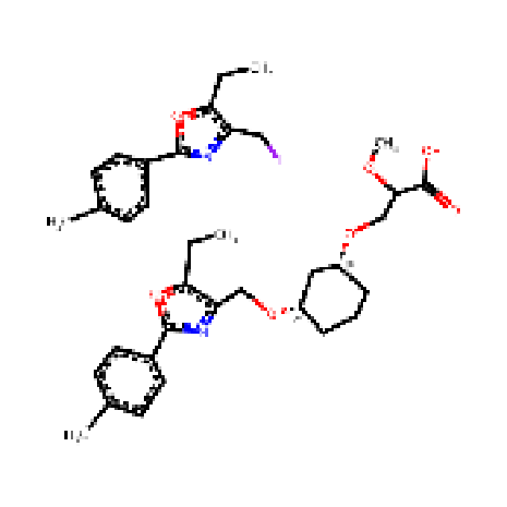 CCc1oc(-c2ccc(C)cc2)nc1CI.CCc1oc(-c2ccc(C)cc2)nc1CO[C@H]1CCC[C@@H](OCC(OC)C(=O)O)C1